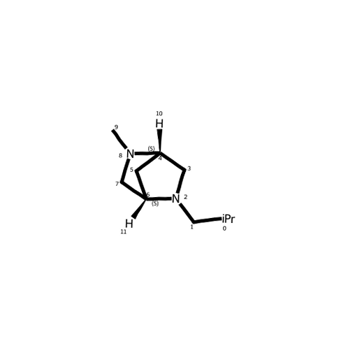 CC(C)CN1C[C@@H]2C[C@H]1CN2C